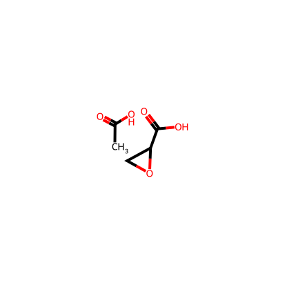 CC(=O)O.O=C(O)C1CO1